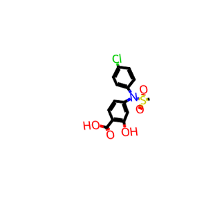 CS(=O)(=O)N(c1ccc(Cl)cc1)c1ccc(C(=O)O)c(O)c1